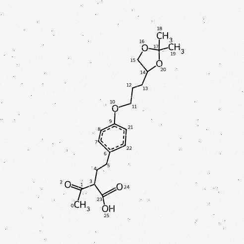 CC(=O)C(CCc1ccc(OCCCC2COC(C)(C)O2)cc1)C(=O)O